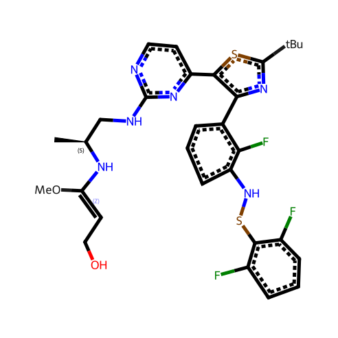 CO/C(=C\CO)N[C@@H](C)CNc1nccc(-c2sc(C(C)(C)C)nc2-c2cccc(NSc3c(F)cccc3F)c2F)n1